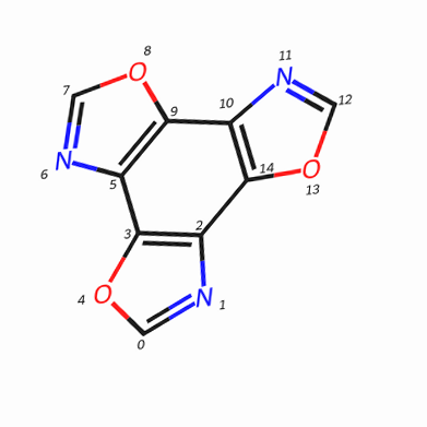 c1nc2c(o1)c1ncoc1c1ncoc21